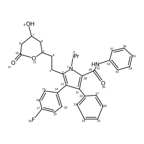 CC(C)n1c(CCC2CC(O)CC(=O)O2)c(-c2ccc(F)cc2)c(-c2ccccc2)c1C(=O)Nc1ccccc1